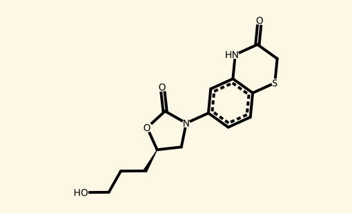 O=C1CSc2ccc(N3C[C@@H](CCCO)OC3=O)cc2N1